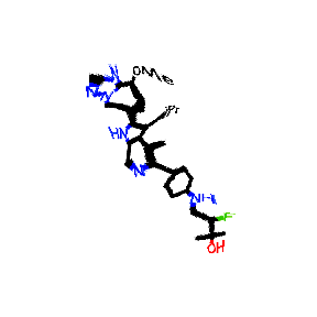 COc1cc(-c2[nH]c3cnc(C4CCC(NCC(F)C(C)(C)O)CC4)c(C)c3c2C(C)C)cn2ncnc12